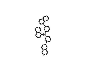 c1cc(-c2ccc3ccccc3c2)cc(N(c2cccc(-c3cccc4ccccc34)c2)c2cccc3ccccc23)c1